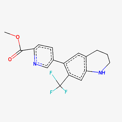 COC(=O)c1ccc(-c2cc3c(cc2C(F)(F)F)NCCC3)cn1